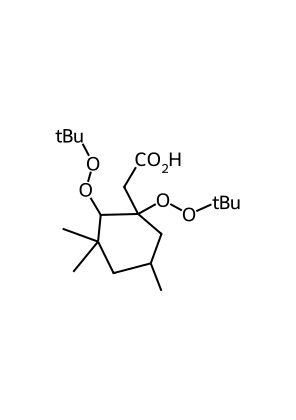 CC1CC(C)(C)C(OOC(C)(C)C)C(CC(=O)O)(OOC(C)(C)C)C1